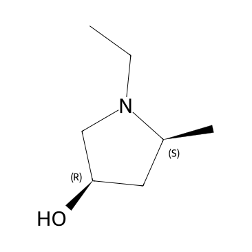 CCN1C[C@H](O)C[C@@H]1C